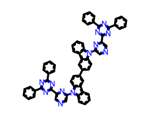 c1ccc(-c2nc(-c3ccccc3)nc(-c3cncc(-n4c5ccccc5c5cc(-c6ccc7c(c6)c6ccccc6n7-c6cncc(-c7nc(-c8ccccc8)nc(-c8ccccc8)n7)n6)ccc54)n3)n2)cc1